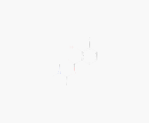 CC(=O)c1cccc(C(=O)OC(C)N(C)C)c1O